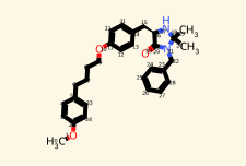 COc1ccc(CCCCOc2ccc(C[C@H]3NC(C)(C)N(Cc4ccccc4)C3=O)cc2)cc1